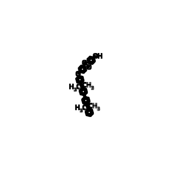 CC(C)(c1ccccc1)c1ccc(-c2ccc(C(C)(C)c3ccc(Oc4ccc(S(=O)(=O)c5ccc(O)cc5)cc4)cc3)cc2)cc1